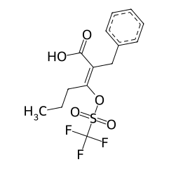 CCCC(OS(=O)(=O)C(F)(F)F)=C(Cc1ccccc1)C(=O)O